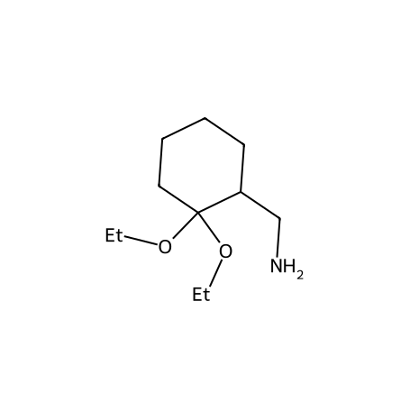 CCOC1(OCC)CCCCC1CN